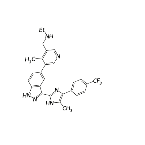 CCNCc1cncc(-c2ccc3[nH]nc(-c4nc(-c5ccc(C(F)(F)F)cc5)c(C)[nH]4)c3c2)c1C